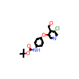 CC(C)(C)OC(=O)Nc1ccc(Oc2cncc(Cl)c2C=O)cc1